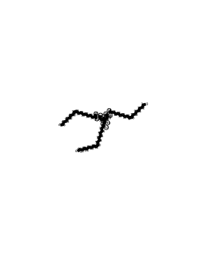 CCCCCCCC/C=C\CCCCCCCC(=O)OC(=O)CC(O)(CC(=O)OC(=O)CCCCCCC/C=C\CCCCCCCC)C(=O)OC(=O)CCCCCCC/C=C\CCCCCCCC